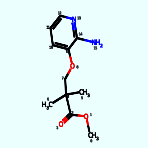 COC(=O)C(C)(C)COc1cccnc1N